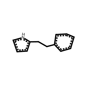 c1ccc(CCc2ccc[nH]2)cc1